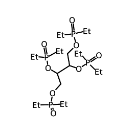 CCP(=O)(CC)OCC(OP(=O)(CC)CC)C(COP(=O)(CC)CC)OP(=O)(CC)CC